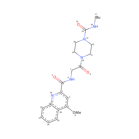 COc1cc(C(=O)NCC(=O)N2CCN(C(=O)NC(C)(C)C)CC2)nc2ccccc12